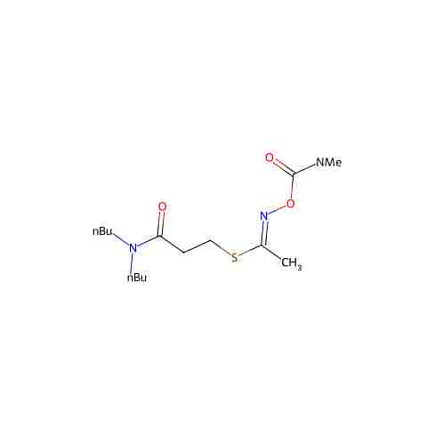 CCCCN(CCCC)C(=O)CCSC(C)=NOC(=O)NC